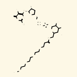 CCCOCCOCCOCCOCCC(=O)NCC1O[C@H](OP(=O)(O)OP(=O)(O)OC[C@@H]2C[C@H](O)[C@H](Nc3nc(N)[nH]c(=O)c3N)O2)C(O)C(O)[C@@H]1O